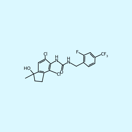 CC1(O)CCc2c1cc(Cl)c(NC(=O)NCc1ccc(C(F)(F)F)cc1F)c2Cl